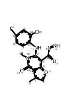 Cc1coc2c(C(=O)N=N)c(Nc3ccc(I)cc3Cl)n(C)c(=O)c12